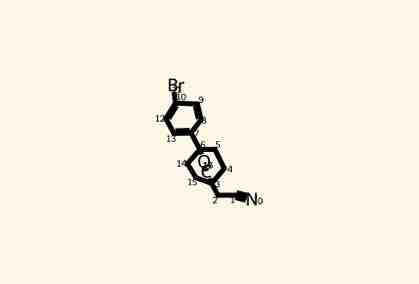 N#CCC12CCC(c3ccc(Br)cc3)(CC1)OC2